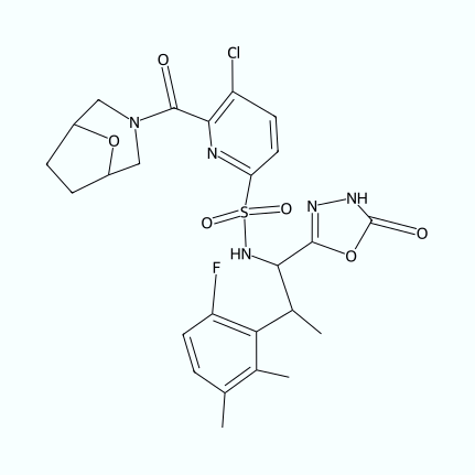 Cc1ccc(F)c(C(C)C(NS(=O)(=O)c2ccc(Cl)c(C(=O)N3CC4CCC(C3)O4)n2)c2n[nH]c(=O)o2)c1C